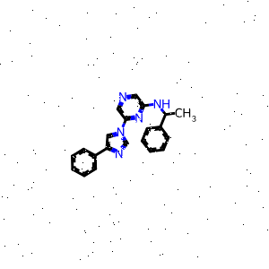 CC(Nc1cncc(-n2cnc(-c3ccccc3)c2)n1)c1ccccc1